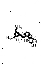 CCCc1cc(-c2ccc3c(ccc4sc5c(c43)NC[C@@H](C)NC5=O)n2)cc(C(C)C)c1